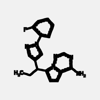 CCC(c1cnn(-c2ccccc2F)c1)c1ccc2c(N)ncnn12